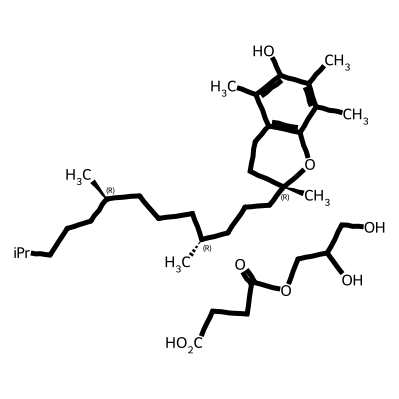 Cc1c(C)c2c(c(C)c1O)CC[C@@](C)(CCC[C@H](C)CCC[C@H](C)CCCC(C)C)O2.O=C(O)CCC(=O)OCC(O)CO